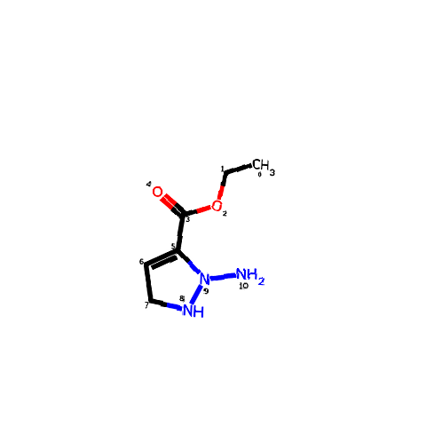 CCOC(=O)C1=CCNN1N